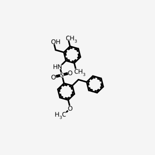 COc1ccc(S(=O)(=O)Nc2c(C)ccc(C)c2CO)c(Cc2ccccc2)c1